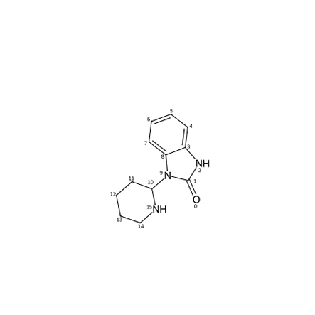 O=c1[nH]c2ccccc2n1C1CCCCN1